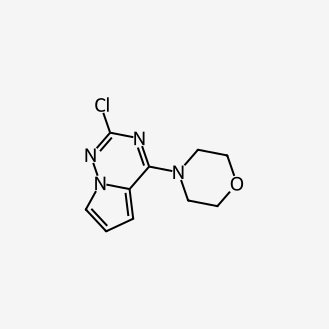 Clc1nc(N2CCOCC2)c2cccn2n1